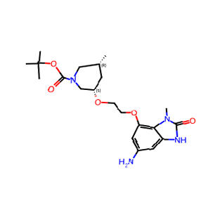 C[C@@H]1C[C@H](OCCOc2cc(N)cc3[nH]c(=O)n(C)c23)CN(C(=O)OC(C)(C)C)C1